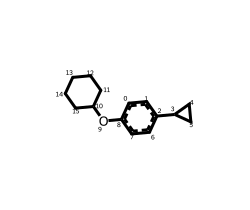 c1cc(C2CC2)ccc1OC1CCCCC1